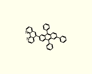 c1ccc(-c2ccc3c(-c4ccccc4)c4cc(-c5cc6cccnc6c6ncccc56)ccc4c(-c4ccccc4)c3c2)cc1